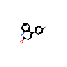 O=C1CC=C(c2ccc(Cl)cc2)c2ccccc2N1